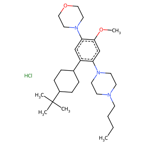 CCCCN1CCN(c2cc(OC)c(N3CCOCC3)cc2C2CCC(C(C)(C)C)CC2)CC1.Cl